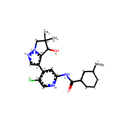 CC(=O)NC1CCCC(C(=O)Nc2cc(-c3cnn4c3C(O)C(C)(C)C4)c(Cl)cn2)C1